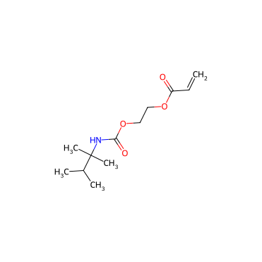 C=CC(=O)OCCOC(=O)NC(C)(C)C(C)C